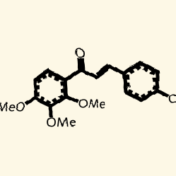 COc1ccc(C(=O)C=Cc2ccc(Cl)cc2)c(OC)c1OC